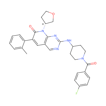 Cc1ccccc1-c1cc2cnc(NC3CCN(C(=O)c4ccc(F)cc4)CC3)nc2n([C@@H]2CCOC2)c1=O